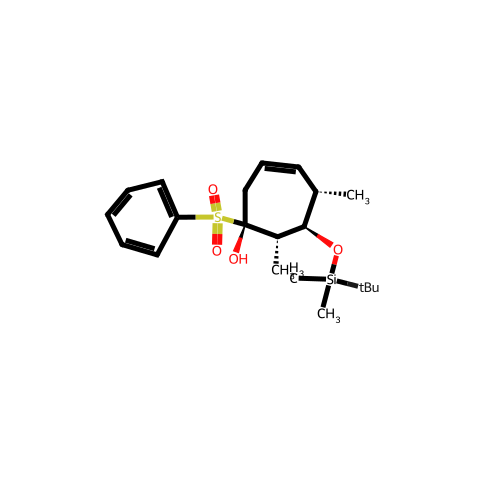 C[C@H]1C=CC[C@@](O)(S(=O)(=O)c2ccccc2)[C@@H](C)[C@@H]1O[Si](C)(C)C(C)(C)C